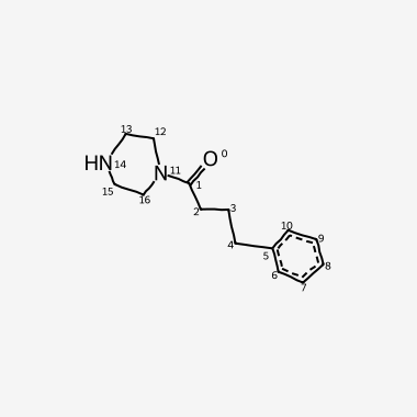 O=C(CCCc1ccccc1)N1CCNCC1